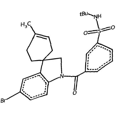 CC1=CCC2(CC1)CN(C(=O)c1cccc(S(=O)(=O)NC(C)(C)C)c1)c1ccc(Br)cc12